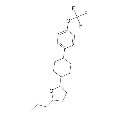 CCCC1CCC(C2CCC(c3ccc(OC(F)(F)F)cc3)CC2)O1